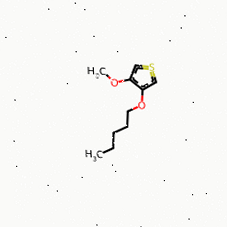 CCCCCOc1cscc1OC